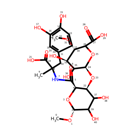 CO[C@@H]1O[C@@H](C(=O)NC(C)(Cc2ccc(O)c(O)c2)C(=O)O)[C@@H](O[C@@H]2OC(C(=O)O)[C@@H](OC)[C@H](O)C2O)C(O)C1O